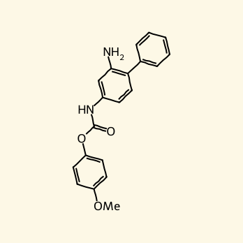 COc1ccc(OC(=O)Nc2ccc(-c3ccccc3)c(N)c2)cc1